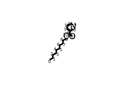 CCCCCCCCCCOC(=O)c1cccnc1